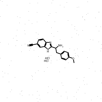 COc1ccc(CC(N)c2nc3ccc(C#N)cc3[nH]2)cc1.Cl.Cl